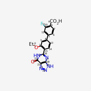 CCOc1cc(-c2ccc(C(=O)O)c(F)c2)ccc1-c1nc2[nH]nnc2c(=O)[nH]1